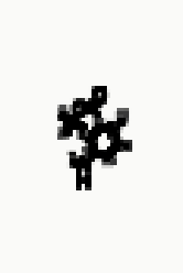 CC(C)(C)OC=O.CNC1CCN(C)CC1